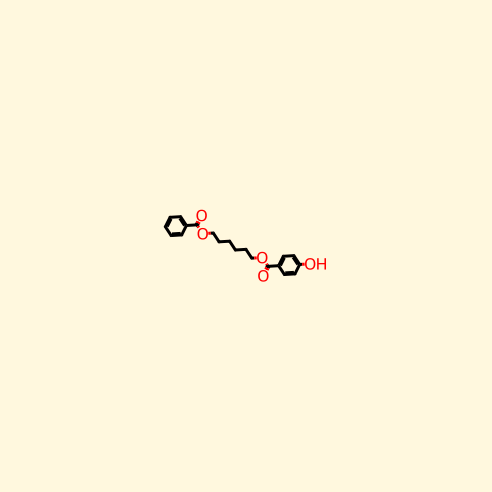 O=C(OCCCCCCOC(=O)c1ccc(O)cc1)c1ccccc1